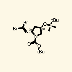 CC(C)(C)OC(=O)N1C[C@H](O[Si](C)(C)C(C)(C)C)C[C@H]1C=C(Br)Br